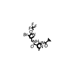 Cc1cc(C(=O)NCc2cnc(OCC(F)(F)F)c(Br)c2)cc(NC(=O)C2CC2)n1